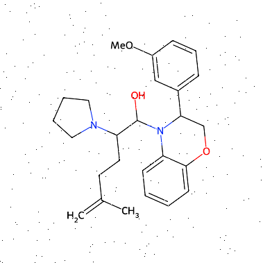 C=C(C)CCC(C(O)N1c2ccccc2OCC1c1cccc(OC)c1)N1CCCC1